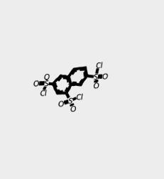 O=S(=O)(Cl)c1cc(S(=O)(=O)Cl)c2cc(S(=O)(=O)Cl)ccc2c1